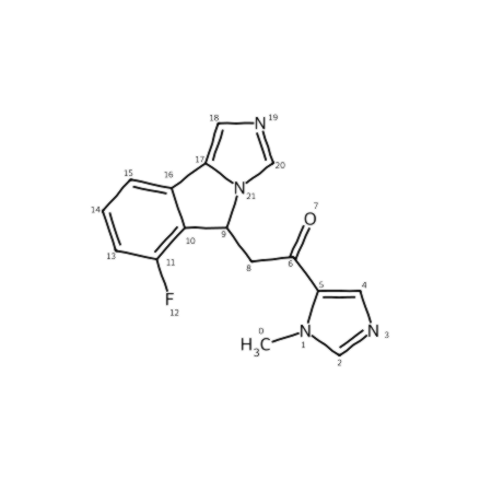 Cn1cncc1C(=O)CC1c2c(F)cccc2-c2cncn21